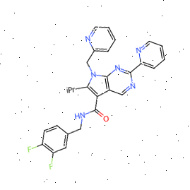 CC(C)c1c(C(=O)NCc2ccc(F)c(F)c2)c2cnc(-c3ccccn3)nc2n1Cc1ccccn1